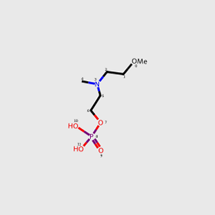 COCCN(C)CCOP(=O)(O)O